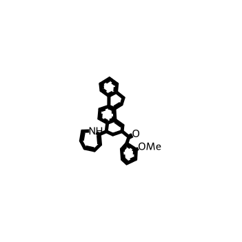 COc1ccccc1C(=O)C1C=c2c(ccc3c2=CCc2ccccc2-3)C(C2=CC=CC=CN2)C1